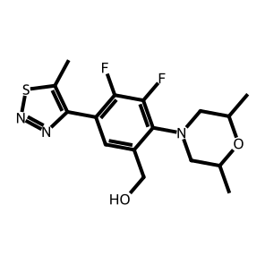 Cc1snnc1-c1cc(CO)c(N2CC(C)OC(C)C2)c(F)c1F